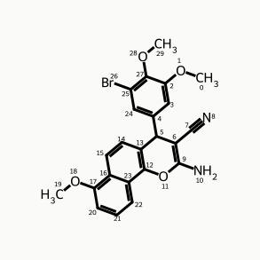 COc1cc(C2C(C#N)=C(N)Oc3c2ccc2c(OC)cccc32)cc(Br)c1OC